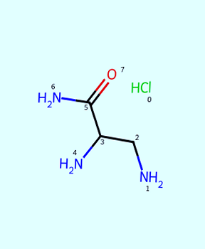 Cl.NCC(N)C(N)=O